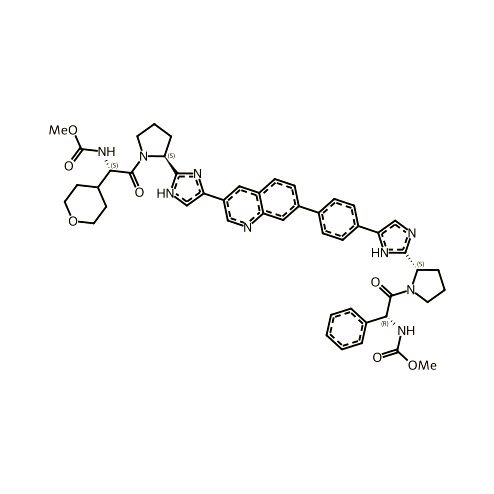 COC(=O)N[C@H](C(=O)N1CCC[C@H]1c1nc(-c2cnc3cc(-c4ccc(-c5cnc([C@@H]6CCCN6C(=O)[C@H](NC(=O)OC)c6ccccc6)[nH]5)cc4)ccc3c2)c[nH]1)C1CCOCC1